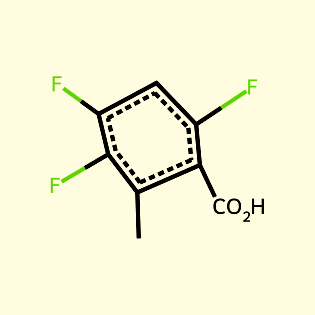 Cc1c(F)c(F)cc(F)c1C(=O)O